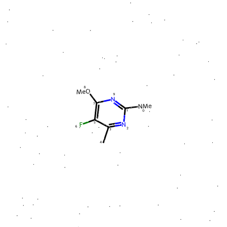 CNc1nc(C)c(F)c(OC)n1